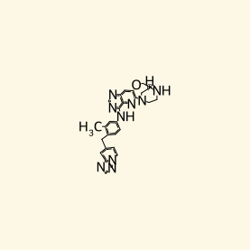 Cc1cc(Nc2ncnc3cc4c(nc23)N2CCN[C@@H](CO4)C2)ccc1Cc1ccn2ncnc2c1